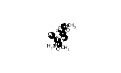 Cc1cc2c(N3CCCc4cc(-c5cccn(C)c5=O)c(C(F)F)cc43)nc(C3=CCOCC3)cc2n(C)c1=O